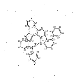 C1=CCC(c2c(-c3ccccc3)ccc3c2[CH]([Zr]=[C](c2ccccc2)c2ccccc2)c2cccc(-c4ccccc4)c2-3)=C1